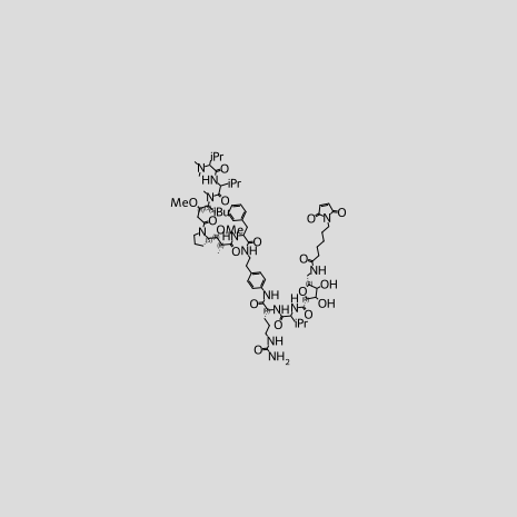 CC[C@H](C)[C@@H]([C@@H](CC(=O)N1CCC[C@H]1[C@H](OC)[C@@H](C)C(=O)NC(Cc1ccccc1)C(=O)NCCc1ccc(NC(=O)[C@@H](CCCNC(N)=O)NC(=O)C(NC(=O)[C@@H]2O[C@H](CNC(=O)CCCCCN3C(=O)C=CC3=O)C(O)C2O)C(C)C)cc1)OC)N(C)C(=O)C(NC(=O)C(C(C)C)N(C)C)C(C)C